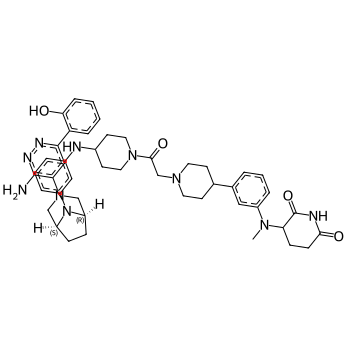 CN(c1cccc(C2CCN(CC(=O)N3CCC(Nc4cccc(N5[C@@H]6CC[C@H]5CN(c5cc(-c7ccccc7O)nnc5N)C6)c4)CC3)CC2)c1)C1CCC(=O)NC1=O